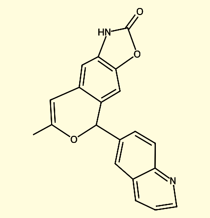 CC1=Cc2cc3[nH]c(=O)oc3cc2C(c2ccc3ncccc3c2)O1